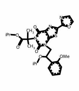 COc1ccccc1C(Cn1c(=O)n(C(C)(C)C(=O)OC(C)C)c(=O)c2nc(-c3ncco3)sc21)OC(C)C